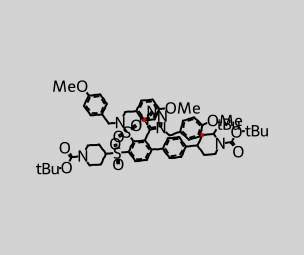 COc1ccc(CN(Cc2ccc(OC)cc2)S(=O)(=O)c2c(S(=O)(=O)C3CCN(C(=O)OC(C)(C)C)CC3)ccc(-c3ccc(C4CCN(C(=O)OC(C)(C)C)C(C(C)(C)C)C4)cc3)c2-c2nnnn2Cc2ccc(OC)cc2)cc1